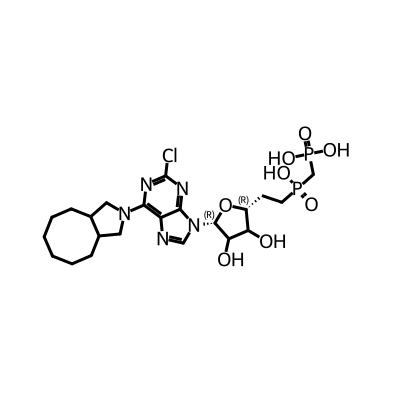 O=P(O)(O)CP(=O)(O)CC[C@H]1O[C@@H](n2cnc3c(N4CC5CCCCCCC5C4)nc(Cl)nc32)C(O)C1O